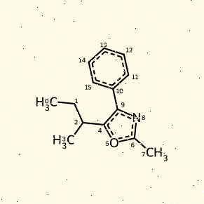 CCC(C)c1oc(C)nc1-c1ccccc1